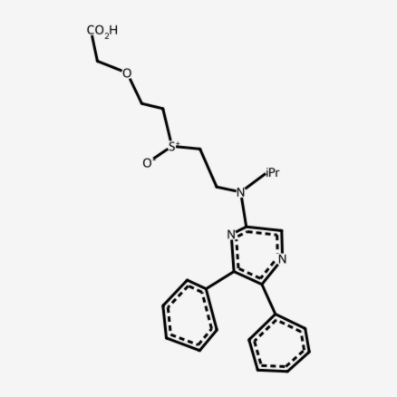 CC(C)N(CC[S+]([O-])CCOCC(=O)O)c1cnc(-c2ccccc2)c(-c2ccccc2)n1